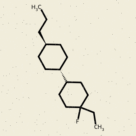 CCC[C@H]1CC[C@H](C2CCC(F)(CC)CC2)CC1